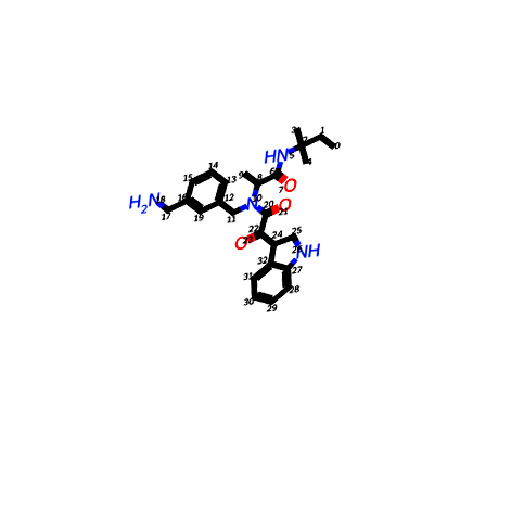 CCC(C)(C)NC(=O)C(C)N(Cc1cccc(CN)c1)C(=O)C(=O)C1CNc2ccccc21